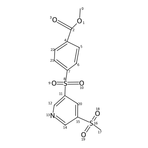 COC(=O)c1ccc(S(=O)(=O)c2cncc(S(C)(=O)=O)c2)cc1